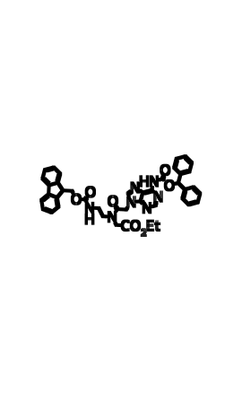 CCOC(=O)CN(CCNC(=O)OCC1c2ccccc2-c2ccccc21)C(=O)Cn1cnc2c(NC(=O)OC(c3ccccc3)c3ccccc3)ncnc21